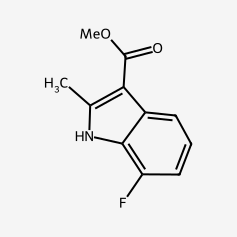 COC(=O)c1c(C)[nH]c2c(F)cccc12